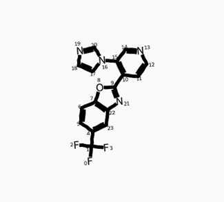 FC(F)(F)c1ccc2oc(-c3ccncc3-n3ccnc3)nc2c1